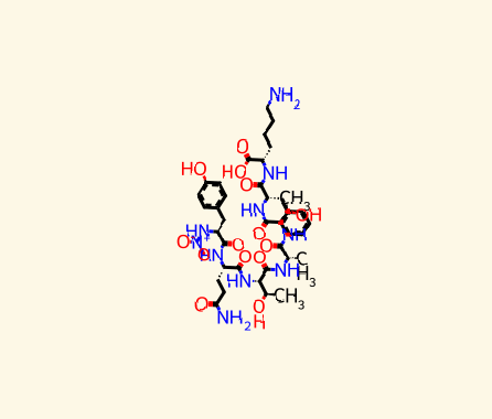 C[C@H](NC(=O)[C@@H](NC(=O)[C@H](CCC(N)=O)NC(=O)[C@H](Cc1ccc(O)cc1)N[N+](=O)[O-])[C@@H](C)O)C(=O)N[C@H](C(=O)N[C@@H](Cc1ccccc1)C(=O)N[C@@H](CCCCN)C(=O)O)[C@@H](C)O